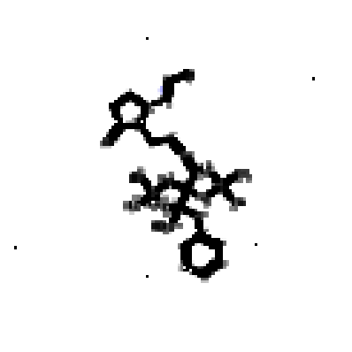 CC/C=C/[C@H]1CCC(=O)[C@@H]1CC=C=CC([16O][Si](C)(C)C(C)(C)C)([16O][Si](C)(C)C(C)(C)C)C(Cl)(Oc1ccccc1)C(=O)O